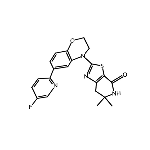 CC1(C)Cc2nc(N3CCOc4ccc(-c5ccc(F)cn5)cc43)sc2C(=O)N1